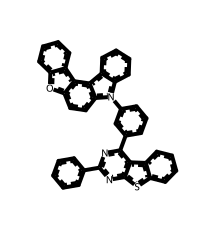 c1ccc(-c2nc(-c3cccc(-n4c5ccccc5c5c6c(ccc54)oc4ccccc46)c3)c3c(n2)sc2ccccc23)cc1